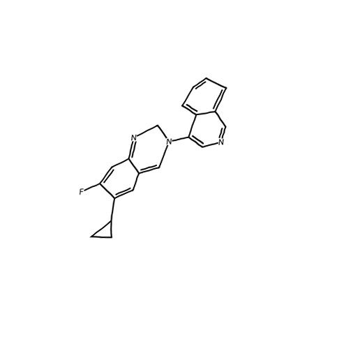 Fc1cc2c(cc1C1CC1)=CN(c1cncc3ccccc13)CN=2